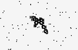 OCC(O)CNc1ncnc2nc(-c3ccc(N4CCOCC4)nc3)cc(-c3cccc(Br)c3)c12